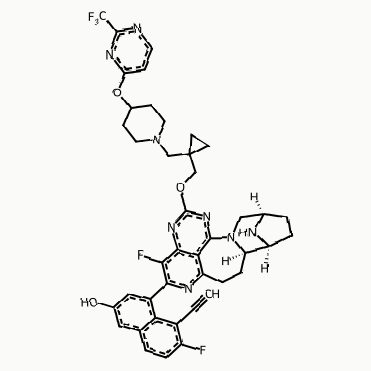 C#Cc1c(F)ccc2cc(O)cc(-c3nc4c5c(nc(OCC6(CN7CCC(Oc8ccnc(C(F)(F)F)n8)CC7)CC6)nc5c3F)N3C[C@H]5CC[C@H](N5)[C@H]3CC4)c12